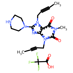 CC#CCn1c(N2CCNCC2)nc2c1c(=O)n(C)c(=O)n2CC#CC.O=C(O)C(F)(F)F